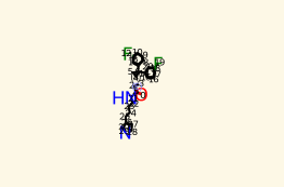 O=C(/C=C/[C@@H]1CC1(c1cccc(F)c1)c1cccc(F)c1)NCCCCC1=CC=NC1